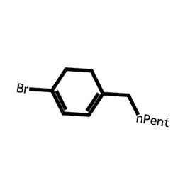 CCCCCCC1=CC=C(Br)CC1